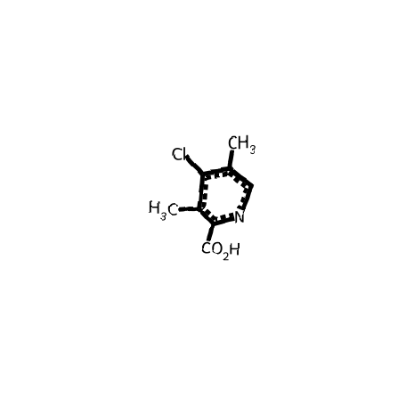 Cc1cnc(C(=O)O)c(C)c1Cl